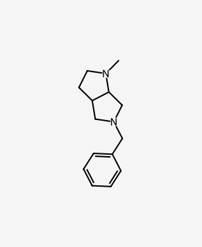 CN1CCC2CN(Cc3ccccc3)CC21